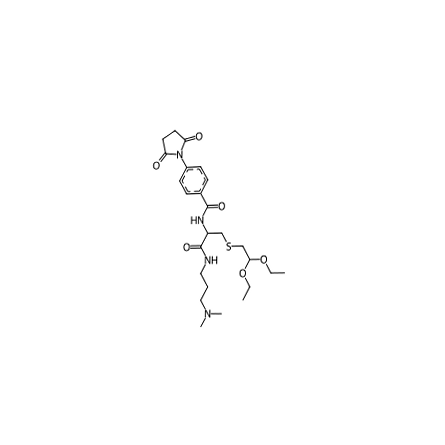 CCOC(CSCC(NC(=O)c1ccc(N2C(=O)CCC2=O)cc1)C(=O)NCCCN(C)C)OCC